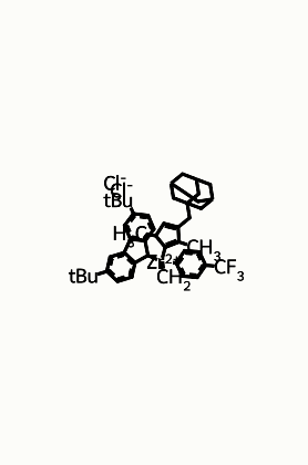 [CH2]=[Zr+2]([C]1=C(C)C(CC23CC4CC(CC(C4)C2)C3)=CC1C)([c]1ccc(C(F)(F)F)cc1)[CH]1c2ccc(C(C)(C)C)cc2-c2cc(C(C)(C)C)ccc21.[Cl-].[Cl-]